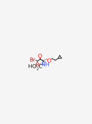 O=C(O)N[C@@H](COCCC1CC1)C(=O)C(Br)Br